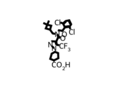 CC1(C)CC(CN(CC(=O)c2c(Cl)cccc2Cl)C(=O)c2cnn([C@H]3CC[C@H](C(=O)O)CC3)c2C(F)(F)F)C1